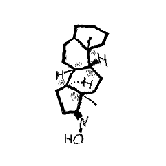 C[C@]12CCCCC1CC[C@@H]1[C@H]2CC[C@]2(C)C(=NO)CC[C@@H]12